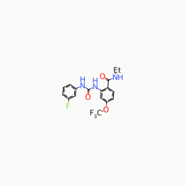 CCNC(=O)c1ccc(OC(F)(F)F)cc1NC(=O)Nc1cccc(F)c1